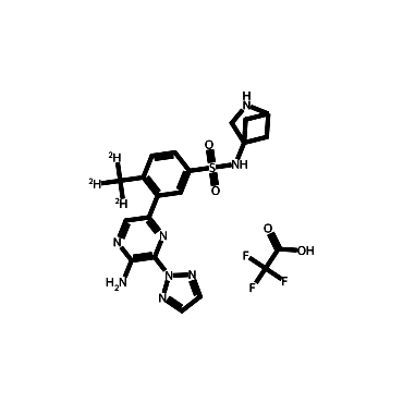 O=C(O)C(F)(F)F.[2H]C([2H])([2H])c1ccc(S(=O)(=O)NC23CNC(C2)C3)cc1-c1cnc(N)c(-n2nccn2)n1